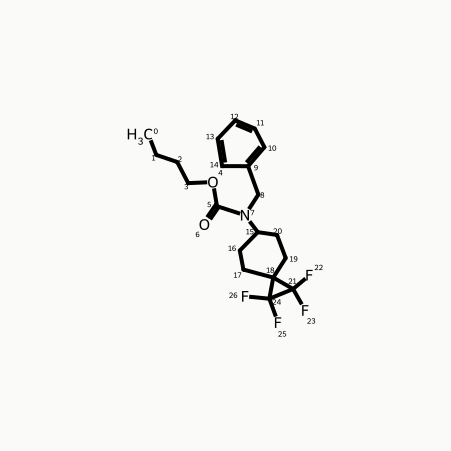 CCCCOC(=O)N(Cc1ccccc1)C1CCC2(CC1)C(F)(F)C2(F)F